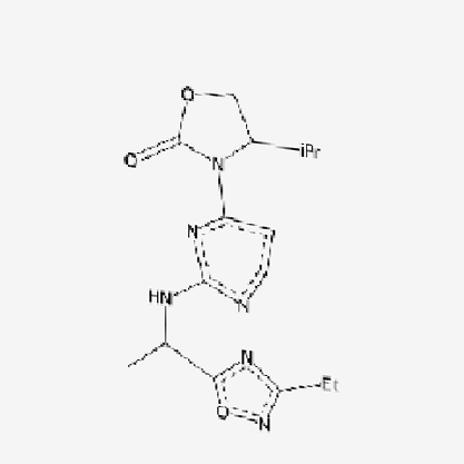 CCc1noc(C(C)Nc2nccc(N3C(=O)OCC3C(C)C)n2)n1